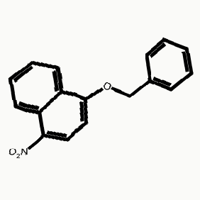 O=[N+]([O-])c1ccc(OCc2ccccc2)c2ccccc12